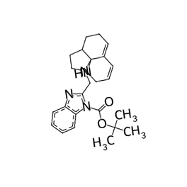 CC(C)(C)OC(=O)n1c(CN2CCC3CCC=C4C=CCNC432)nc2ccccc21